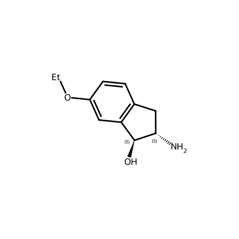 CCOc1ccc2c(c1)[C@H](O)[C@@H](N)C2